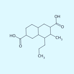 CCCC1C(C)C(C(=O)O)CC2CCC(C(=O)O)CC21